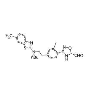 CCCCN(CCc1ccc(C2=NOC(C=O)N2)c(C)c1)c1nc2ccc(C(F)(F)F)cc2s1